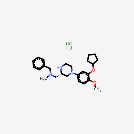 COc1ccc(N2CCN[C@@H](CN(C)Cc3ccccc3)C2)cc1OC1CCCC1.Cl.Cl